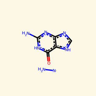 Nc1nc2nc[nH]c2c(=O)[nH]1.[N]N